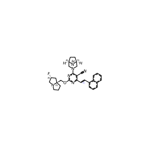 N#Cc1c(/C=C/c2cccc3ccccc23)nc(OC[C@@]23CCCN2C[C@H](F)C3)nc1N1C[C@H]2CC[C@@H](C1)N2